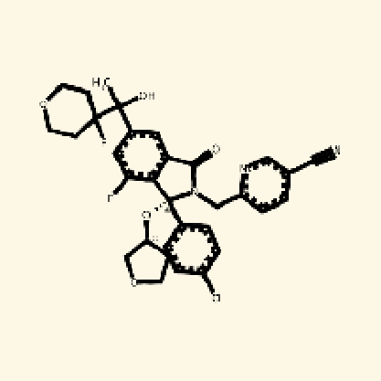 CC(O)(c1cc(F)c2c(c1)C(=O)N(Cc1ccc(C#N)cn1)[C@@]2(O[C@H]1CCOC1)c1ccc(Cl)cc1)C1(F)CCOCC1